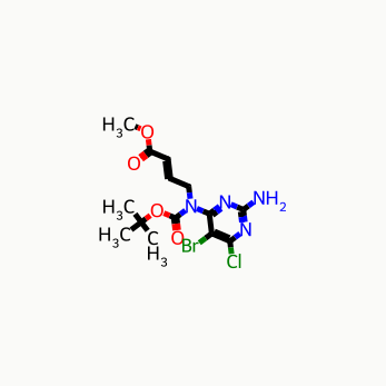 COC(=O)C=CCN(C(=O)OC(C)(C)C)c1nc(N)nc(Cl)c1Br